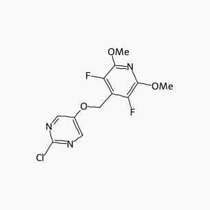 COc1nc(OC)c(F)c(COc2cnc(Cl)nc2)c1F